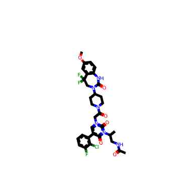 COc1ccc2c(c1)C(F)(F)CN(C1CCN(C(=O)Cn3cc(-c4cccc(F)c4Cl)c(=O)n(C(C)CNC(C)=O)c3=O)CC1)C(=O)N2